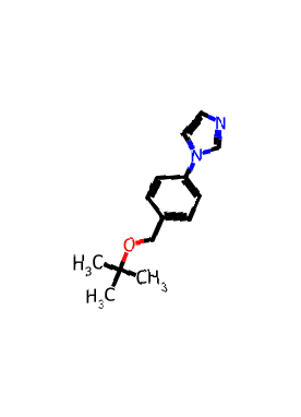 CC(C)(C)OCc1ccc(-n2ccnc2)cc1